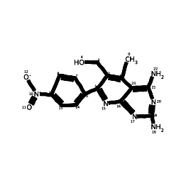 Cc1c(CO)c(-c2ccc([N+](=O)[O-])cc2)nc2nc(N)nc(N)c12